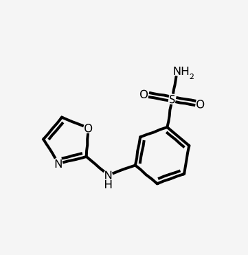 NS(=O)(=O)c1cccc(Nc2ncco2)c1